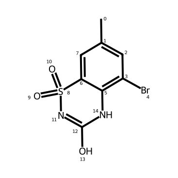 Cc1cc(Br)c2c(c1)S(=O)(=O)N=C(O)N2